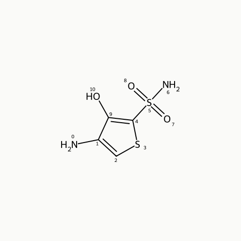 Nc1csc(S(N)(=O)=O)c1O